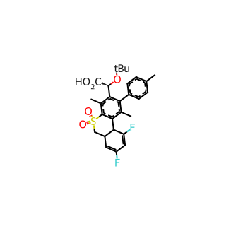 Cc1ccc(-c2c(C)c3c(c(C)c2[C@H](OC(C)(C)C)C(=O)O)S(=O)(=O)CC2C=C(F)C=C(F)C32)cc1